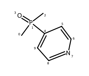 CP(C)(=O)c1ccncc1